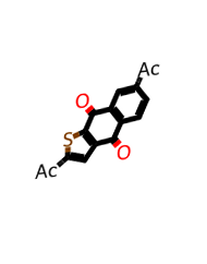 CC(=O)c1ccc2c(c1)C(=O)c1sc(C(C)=O)cc1C2=O